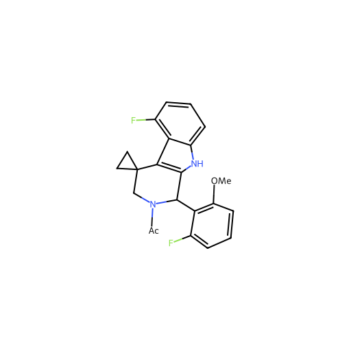 COc1cccc(F)c1C1c2[nH]c3cccc(F)c3c2C2(CC2)CN1C(C)=O